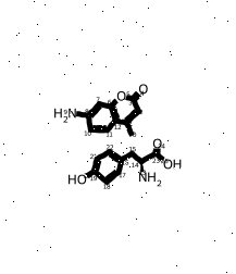 Cc1cc(=O)oc2cc(N)ccc12.N[C@@H](Cc1ccc(O)cc1)C(=O)O